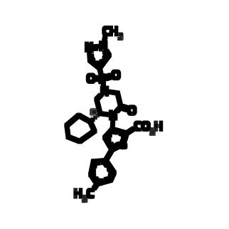 Cc1ccc(-c2cc(N3C(=O)CN(S(=O)(=O)c4cnn(C)c4)C[C@H]3C3CCCCC3)c(C(=O)O)s2)cc1